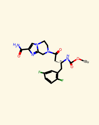 CC(C)(C)OC(=O)N[C@@H](CC(=O)N1CCn2cc(C(N)=O)nc2C1)Cc1cc(F)ccc1F